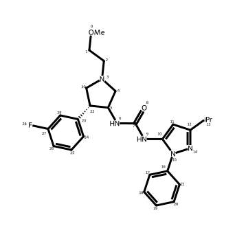 COCCN1CC(NC(=O)Nc2cc(C(C)C)nn2-c2ccccc2)[C@H](c2cccc(F)c2)C1